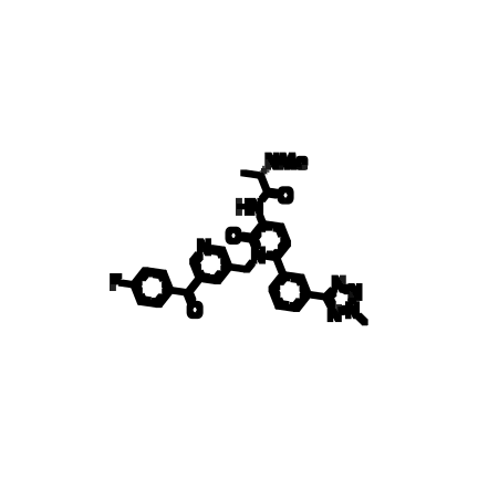 CN[C@@H](C)C(=O)Nc1ccc(-c2cccc(-c3nnn(C)n3)c2)n(Cc2cncc(C(=O)c3ccc(F)cc3)c2)c1=O